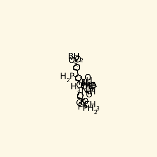 BOC(=O)[C@@H]1CC=C(c2cc(C(=O)N(C)[C@@H]3[C@H]4CC[C@@H](C4)[C@@H]3C(=O)Nc3cccc(S(=O)(=O)C(C)(F)P)c3)c(OC)cc2P)CC1